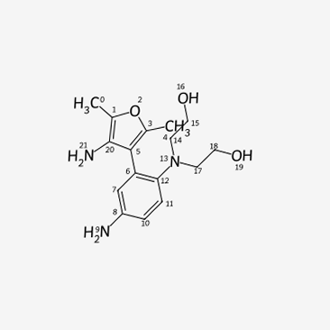 Cc1oc(C)c(-c2cc(N)ccc2N(CCO)CCO)c1N